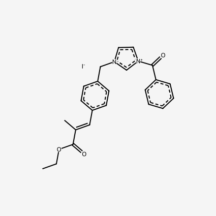 CCOC(=O)/C(C)=C/c1ccc(Cn2cc[n+](C(=O)c3ccccc3)c2)cc1.[I-]